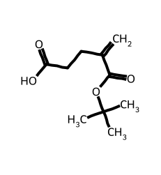 C=C(CCC(=O)O)C(=O)OC(C)(C)C